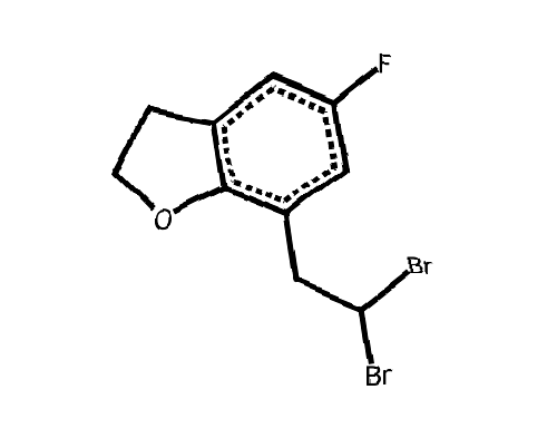 Fc1cc2c(c(CC(Br)Br)c1)OCC2